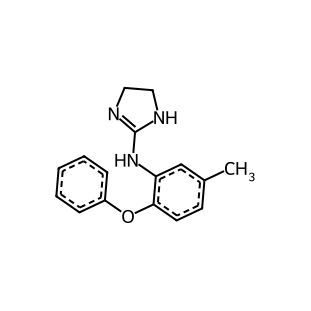 Cc1ccc(Oc2ccccc2)c(NC2=NCCN2)c1